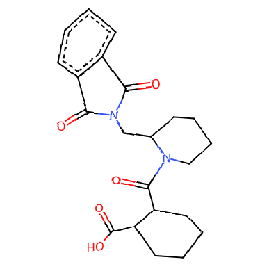 O=C(O)C1CCCCC1C(=O)N1CCCCC1CN1C(=O)c2ccccc2C1=O